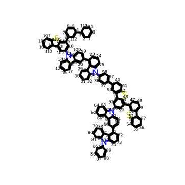 c1ccc(-c2cccc(-c3cc(-n4c5ccccc5c5cc(-c6cccc7c6c6ccccc6n7-c6ccc(-c7ccc8sc9c(-c%10cccc%11c%10sc%10ccccc%10%11)cc(-n%10c%11ccccc%11c%11cc(-c%12cccc%13c%12c%12ccccc%12n%13-c%12ccccc%12)ccc%11%10)cc9c8c7)cc6)ccc54)cc4c3sc3ccccc34)c2)cc1